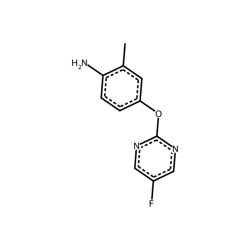 Cc1cc(Oc2ncc(F)cn2)ccc1N